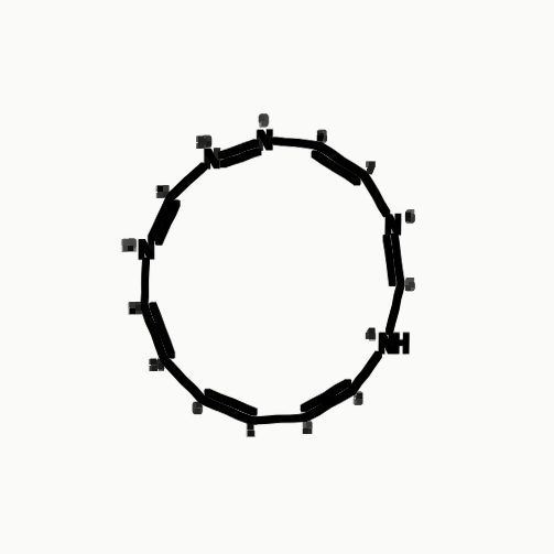 C1=CC=CNC=NC=CN=NC=NC=C1